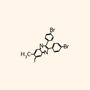 Cc1cc2nc(-c3ccc(Br)cc3)c(-c3ccc(Br)cc3)nc2cc1I